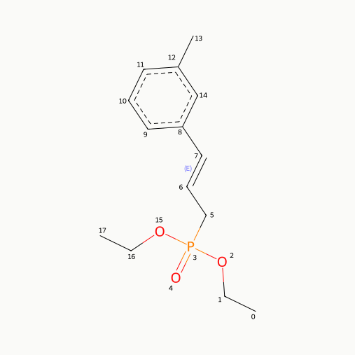 CCOP(=O)(C/C=C/c1cccc(C)c1)OCC